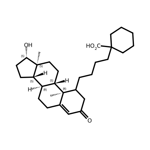 C[C@]12CC[C@H]3[C@@H](CCC4=CC(=O)CC(CCCCC5(C(=O)O)CCCCC5)[C@@]43C)[C@@H]1CC[C@@H]2O